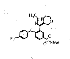 CNS(=O)(=O)c1ccc(Oc2ccc(C(F)(F)F)cc2)c(-c2nc(C)n3c2COCC3)c1